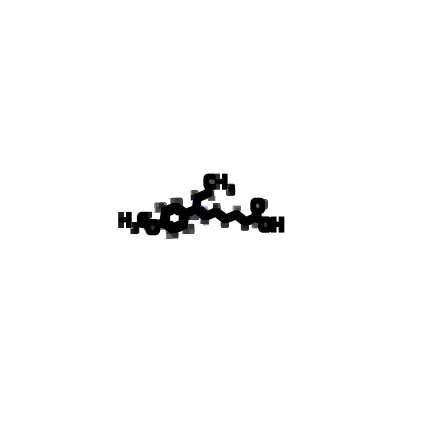 CCC/C(=C\CCCCC(=O)O)c1ccc(OC)cc1